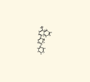 Brc1ccc(-c2cnc(-c3ccccc3)cn2)c2ccccc12